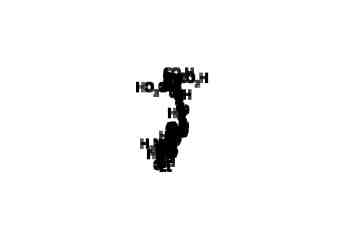 CCC(=O)NCCNC(=O)/N=C(/N)NCCC[C@@H](NC(=O)C(c1ccccc1)c1cccc(OCCCCNC(=O)CCCCCNC(=O)CN2CCN(CC(=O)O)CCN(CC(=O)O)CCN(CC(=O)O)CC2)c1)C(=O)NCc1ccc(O)cc1